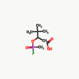 CC(OP(C)(=O)F)C(C)(C)C.O=CO